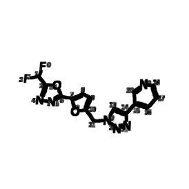 FC(F)c1nnc(-c2ccc(Cn3cc(-c4cccnc4)nn3)o2)o1